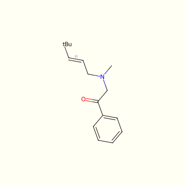 CN(C/C=C/C(C)(C)C)CC(=O)c1ccccc1